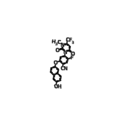 Cn1c(C(F)(F)F)cc(=O)n(-c2cc(Oc3ccc4cc(O)ccc4c3)c(C#N)cc2F)c1=O